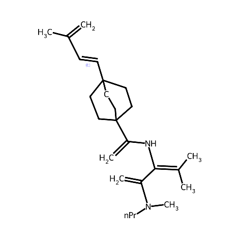 C=C(C)/C=C/C12CCC(C(=C)NC(C(=C)N(C)CCC)=C(C)C)(CC1)CC2